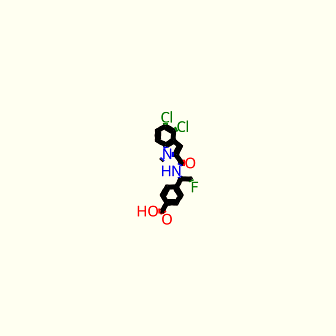 Cn1c(C(=O)NC(CF)c2ccc(C(=O)O)cc2)cc2c(Cl)c(Cl)ccc21